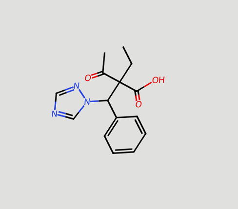 CCC(C(C)=O)(C(=O)O)C(c1ccccc1)n1cncn1